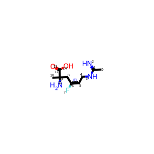 CC(=N)NC/C=C(/F)CC(C)(N)C(=O)O